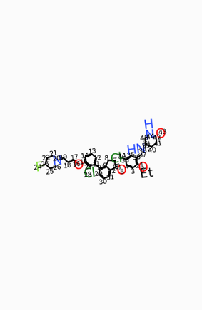 CCOc1cc(O[C@H]2CCc3c(-c4cccc(OCCCN5CCC(F)CC5)c4Cl)cccc32)c(Cl)cc1CN[C@H]1CCC(=O)NC1